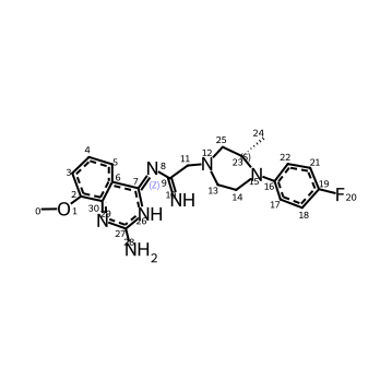 COc1cccc2/c(=N/C(=N)CN3CCN(c4ccc(F)cc4)[C@@H](C)C3)[nH]c(N)nc12